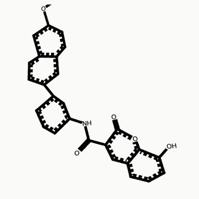 COc1ccc2cc(-c3cccc(NC(=O)c4cc5cccc(O)c5oc4=O)c3)ccc2c1